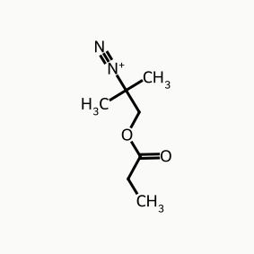 CCC(=O)OCC(C)(C)[N+]#N